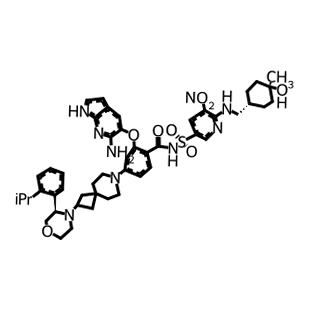 CC(C)c1ccccc1[C@@H]1COCCN1C1CC2(CCN(c3ccc(C(=O)NS(=O)(=O)c4cnc(NC[C@H]5CC[C@](C)(O)CC5)c([N+](=O)[O-])c4)c(Oc4cc5cc[nH]c5nc4N)c3)CC2)C1